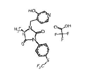 C[C@@H]1C(=O)N(c2ccc(SC(F)(F)F)cc2)C(=O)N1Cc1ccncc1O.O=C(O)C(F)(F)F